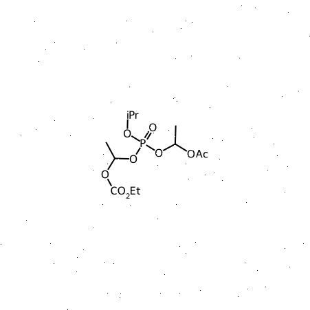 CCOC(=O)OC(C)OP(=O)(OC(C)C)OC(C)OC(C)=O